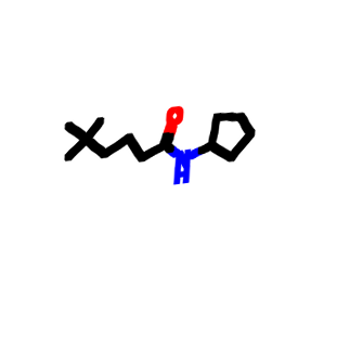 CC(C)(C)CCCC(=O)NC1CCCC1